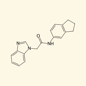 O=C(Cn1cnc2ccccc21)Nc1ccc2c(c1)CCC2